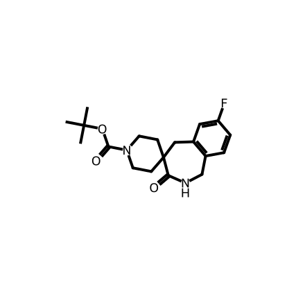 CC(C)(C)OC(=O)N1CCC2(CC1)Cc1cc(F)ccc1CNC2=O